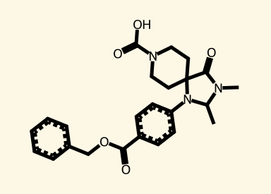 CC1N(C)C(=O)C2(CCN(C(=O)O)CC2)N1c1ccc(C(=O)OCc2ccccc2)cc1